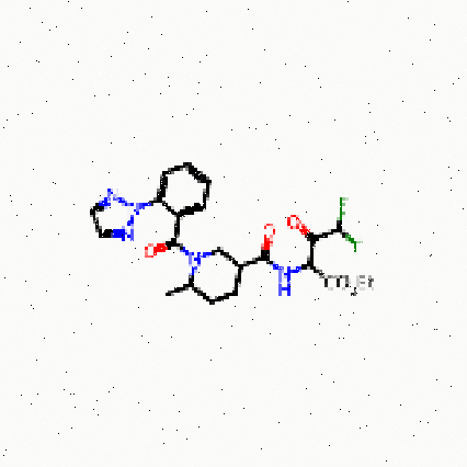 CCOC(=O)C(NC(=O)C1CCC(C)N(C(=O)c2ccccc2-n2nccn2)C1)C(=O)C(F)F